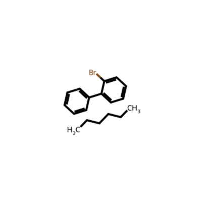 Brc1ccccc1-c1ccccc1.CCCCCC